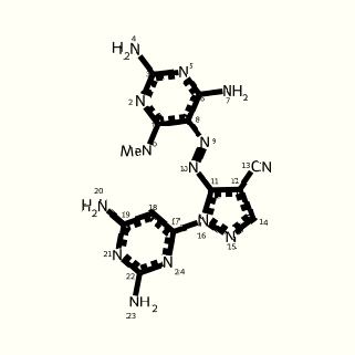 CNc1nc(N)nc(N)c1/N=N/c1c(C#N)cnn1-c1cc(N)nc(N)n1